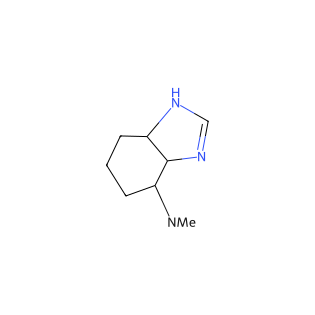 CNC1CCCC2NC=NC12